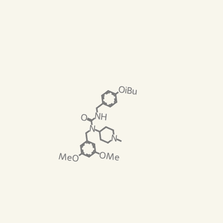 COc1cc(CN(C(=O)NCc2ccc(OCC(C)C)cc2)C2CCN(C)CC2)cc(OC)c1